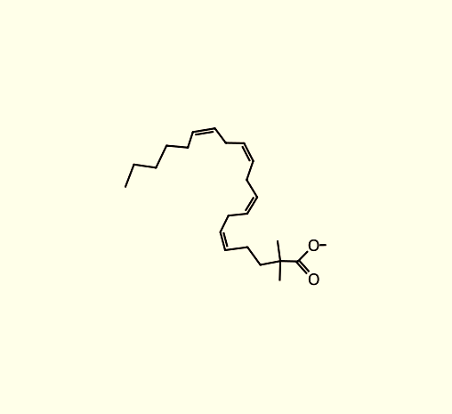 CCCCC/C=C\C/C=C\C/C=C\C/C=C\CCC(C)(C)C(=O)OC